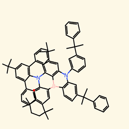 CC(C)(C)c1cc(-c2ccccc2)c(N2c3cc4c(cc3B3c5ccc(C(C)(C)c6ccccc6)cc5N(c5cccc(C(C)(C)c6ccccc6)c5)c5cc(C(C)(C)C)cc2c53)C(C)(C)CCC4(C)C)c(-c2ccccc2)c1